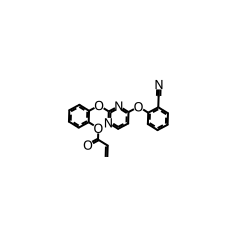 C=CC(=O)Oc1ccccc1Oc1nccc(Oc2ccccc2C#N)n1